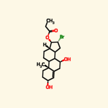 CCC(=O)O[C@H]1[C@H](Br)CC2C3C(CC[C@@H]21)[C@@]1(C)CC[C@H](O)C=C1C[C@@H]3O